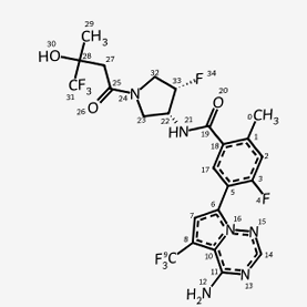 Cc1cc(F)c(-c2cc(C(F)(F)F)c3c(N)ncnn23)cc1C(=O)N[C@@H]1CN(C(=O)CC(C)(O)C(F)(F)F)C[C@@H]1F